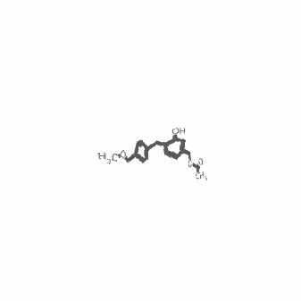 COCc1ccc(Cc2ccc(COC(C)=O)cc2O)cc1